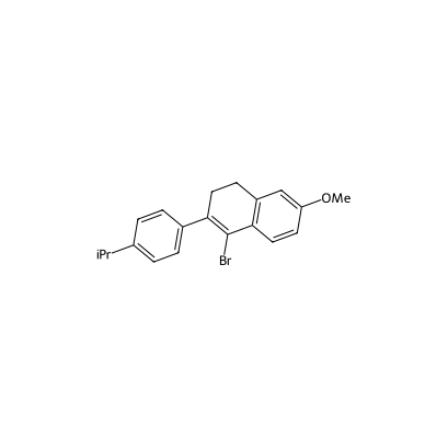 COc1ccc2c(c1)CCC(c1ccc(C(C)C)cc1)=C2Br